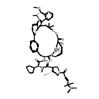 CCn1c(-c2cccnc2[C@H](C)OC)c2c3cc(ccc31)-c1cccc(c1)C[C@H](NC(=O)[C@H](C1CCCC1)N(C)C(=O)C1CN(C(=O)C#CC(C)(C)N(C)C)C[C@@H]1C)C(=O)N1CCC[C@H](N1)C(=O)OCC(C)(C)C2